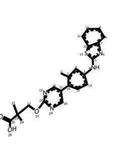 Cc1cc(Nc2nc3ccccc3s2)ccc1-c1cnc(OCC(C)(C)C(=O)O)nc1